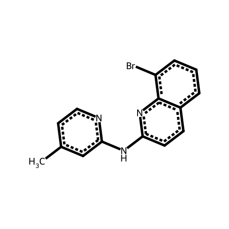 Cc1ccnc(Nc2ccc3cccc(Br)c3n2)c1